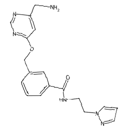 NCc1cc(OCc2cccc(C(=O)NCCn3cccn3)c2)ncn1